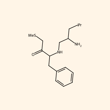 CSCC(=O)C(Cc1ccccc1)NCC(N)CC(C)C